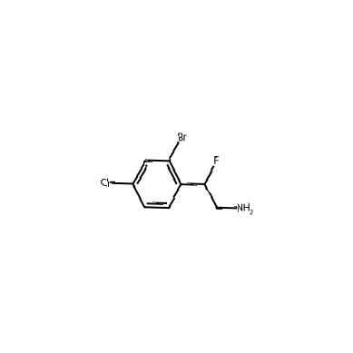 NCC(F)c1ccc(Cl)cc1Br